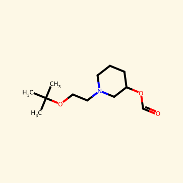 CC(C)(C)OCCN1CCCC(OC=O)C1